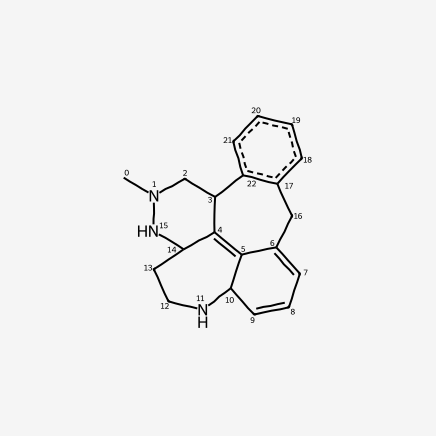 CN1CC2C3=C4C(=CC=CC4NCCC3N1)Cc1ccccc12